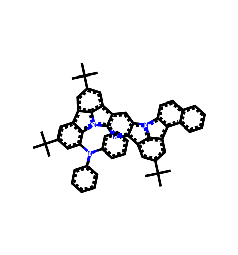 CC(C)(C)c1cc(N(c2ccccc2)c2ccccc2)c2c(c1)c1cc(C(C)(C)C)cc3c4cc5c(nc4n2c31)c1cc(C(C)(C)C)cc2c3c4ccccc4ccc3n5c12